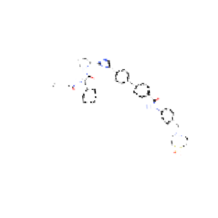 COC(=O)N[C@@H](C(=O)N1CCC[C@H]1c1ncc(-c2ccc(-c3ccc(C(=O)Nc4ccc(CN5CCS(=O)(=O)CC5)cc4)cc3)cc2)[nH]1)c1ccccc1